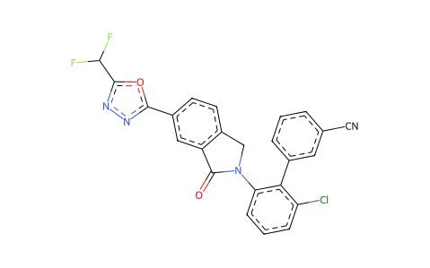 N#Cc1cccc(-c2c(Cl)cccc2N2Cc3ccc(-c4nnc(C(F)F)o4)cc3C2=O)c1